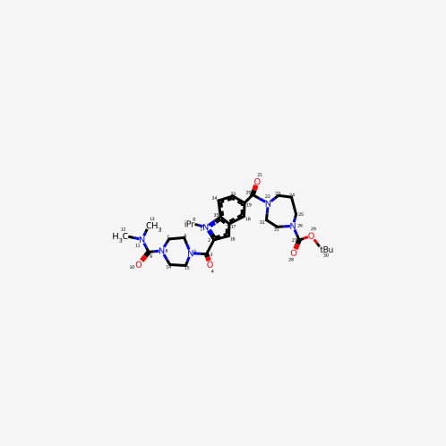 CC(C)n1c(C(=O)N2CCN(C(=O)N(C)C)CC2)cc2cc(C(=O)N3CCCN(C(=O)OC(C)(C)C)CC3)ccc21